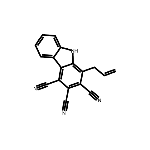 C=CCc1c(C#N)c(C#N)c(C#N)c2c1[nH]c1ccccc12